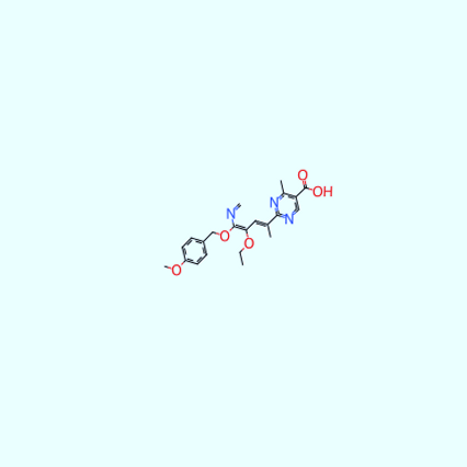 C=N/C(OCc1ccc(OC)cc1)=C(\C=C(/C)c1ncc(C(=O)O)c(C)n1)OCC